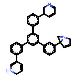 C1=CC(c2cccc(-c3cc(-c4cccc(C5=CNCC=C5)c4)cc(-c4cccc(C56C=CCN5C6)c4)c3)c2)CN=C1